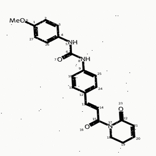 COc1ccc(NC(=O)Nc2ccc(/C=C/C(=O)N3CCC=CC3=O)cc2)cc1